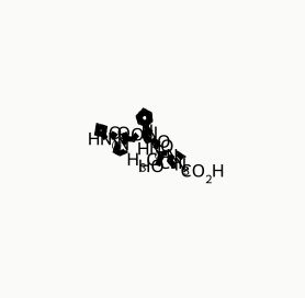 CC(C)(O)[C@H](NC(=O)c1cc(OCC(=O)N2CCC[C@H]2C(=O)NC2CCC2)n(-c2ccccc2)n1)C(=O)N1CCN(C(=O)O)CC1